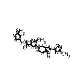 Cc1noc(-c2cc3cc(-c4cc(C(=O)NCc5cnn(C)c5)nn4C)ccc3[nH]2)n1